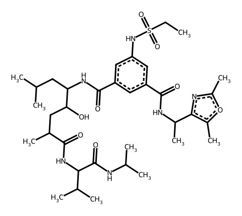 CCS(=O)(=O)Nc1cc(C(=O)NC(C)c2nc(C)oc2C)cc(C(=O)NC(CC(C)C)C(O)CC(C)C(=O)NC(C(=O)NC(C)C)C(C)C)c1